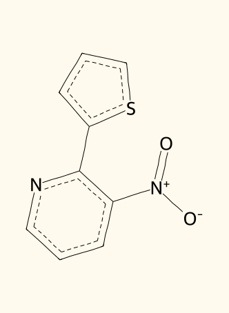 O=[N+]([O-])c1cccnc1-c1cccs1